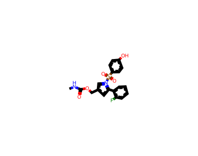 CNC(=O)OCc1cc(-c2ccccc2F)n(S(=O)(=O)c2ccc(O)cc2)c1